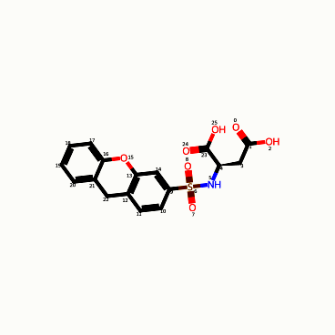 O=C(O)C[C@@H](NS(=O)(=O)c1ccc2c(c1)Oc1ccccc1C2)C(=O)O